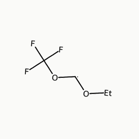 CCO[CH]OC(F)(F)F